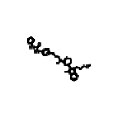 COCCCn1c(C2CCCN(C(=O)CCCc3ccc(NC(=O)NC4CCCC4)cc3)C2)c(C)c2ccccc21